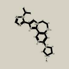 CC(C)n1ncnc1-c1cn2c(n1)-c1cnc(N3CC[C@H](C)C3)cc1OCC2